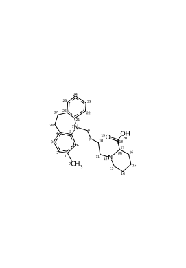 Cc1ccc2c(c1)N(CCCCN1CCCC[C@@H]1C(=O)O)c1ccccc1CC2